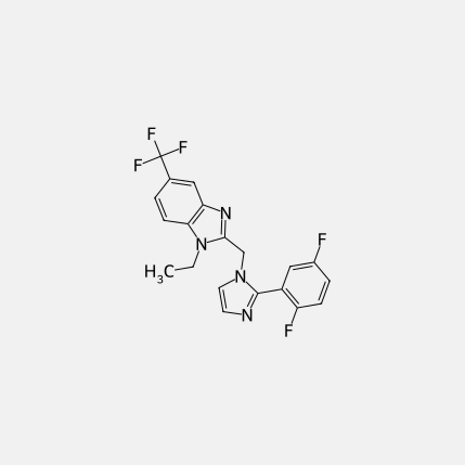 CCn1c(Cn2ccnc2-c2cc(F)ccc2F)nc2cc(C(F)(F)F)ccc21